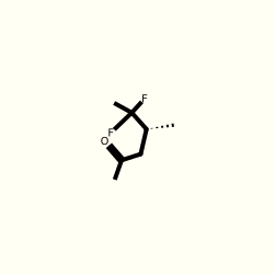 CC(=O)C[C@@H](C)C(C)(F)F